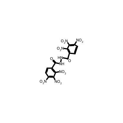 O=C(NNC(=O)c1ccc([N+](=O)[O-])c([N+](=O)[O-])c1[N+](=O)[O-])c1ccc([N+](=O)[O-])c([N+](=O)[O-])c1[N+](=O)[O-]